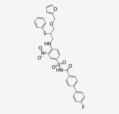 O=C(NS(=O)(=O)c1ccc(NCC(COCc2ccco2)Sc2ccccc2)c([N+](=O)[O-])c1)c1ccc(-c2ccc(F)cc2)cc1